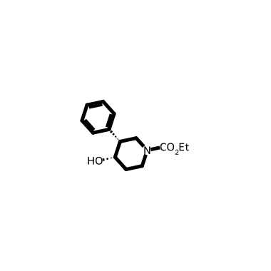 CCOC(=O)N1CC[C@H](O)[C@H](c2ccccc2)C1